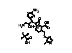 Cn1nnnc1SCC1=C(C(=O)O)N2C(=O)[C@@H](N(C(=O)CN)c3csc(N)n3)[C@@H]2SC1.O=C(O)C(F)(F)F